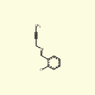 CC#CC/N=C/c1ccccc1Cl